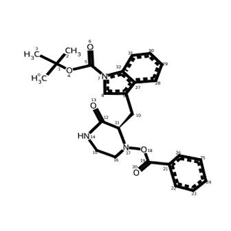 CC(C)(C)OC(=O)n1cc(C[C@@H]2C(=O)NCCN2OC(=O)c2ccccc2)c2ccccc21